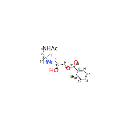 CC(=O)NCC(C)(C)NCC(O)COC(=O)c1ccccc1F